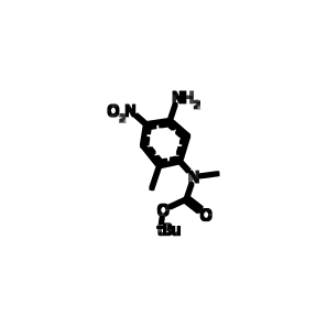 Cc1cc([N+](=O)[O-])c(N)cc1N(C)C(=O)OC(C)(C)C